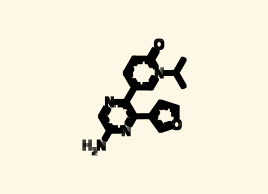 CC(C)n1cc(-c2ncc(N)nc2-c2ccoc2)ccc1=O